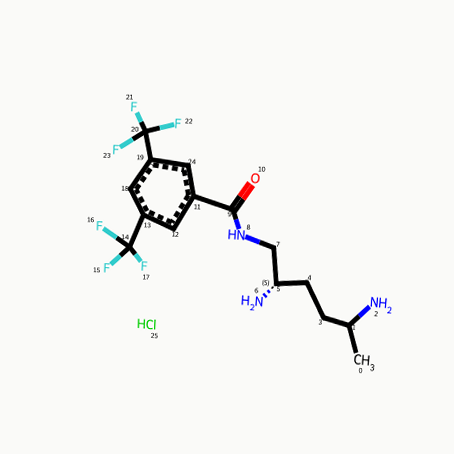 CC(N)CC[C@H](N)CNC(=O)c1cc(C(F)(F)F)cc(C(F)(F)F)c1.Cl